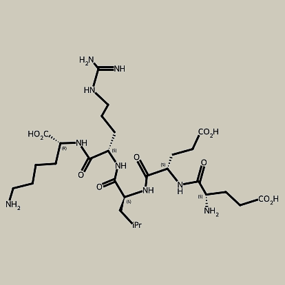 CC(C)C[C@H](NC(=O)[C@H](CCC(=O)O)NC(=O)[C@@H](N)CCC(=O)O)C(=O)N[C@@H](CCCNC(=N)N)C(=O)N[C@H](CCCCN)C(=O)O